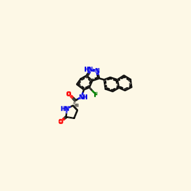 O=C1CC[C@@H](C(=O)Nc2ccc3[nH]nc(-c4ccc5ccccc5c4)c3c2F)N1